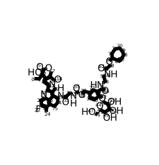 CC[C@@]1(O)C(=O)OCc2c1cc1n(c2=O)Cc2c-1nc1cc(F)c(C)c3c1c2[C@@H](NC(=O)CNC(=O)OCc1ccc(O[C@@H]2O[C@H](CO)[C@@H](O)[C@H](O)[C@H]2O)c(C(=O)NCCNC(=O)COC2C#CCCCCC2)c1)CC3